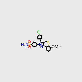 COc1cccc(-c2nn(-c3ccc(S(N)(=O)=O)cc3)c(-c3ccc(Cl)cc3)c2C=S)c1